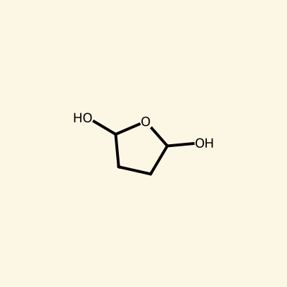 OC1CCC(O)O1